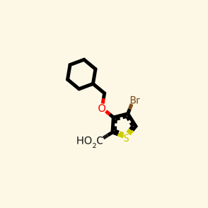 O=C(O)c1scc(Br)c1OCC1CCCCC1